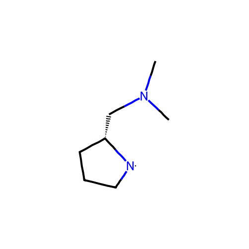 CN(C)C[C@H]1CCC[N]1